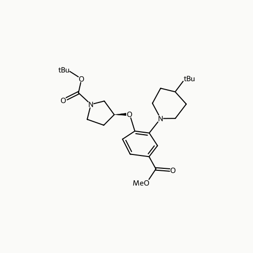 COC(=O)c1ccc(O[C@H]2CCN(C(=O)OC(C)(C)C)C2)c(N2CCC(C(C)(C)C)CC2)c1